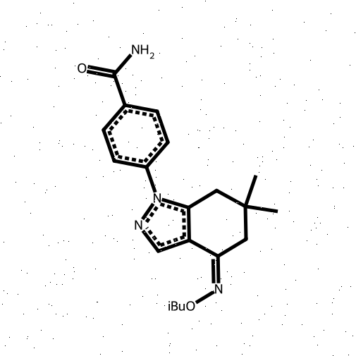 CC(C)CO/N=C1/CC(C)(C)Cc2c1cnn2-c1ccc(C(N)=O)cc1